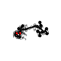 CO[C@H]1[C@@H]2[C@]3(OC(C)=O)CO[C@@H]3C[C@H](O)[C@@]2(C)C(=O)[C@H](OC(C)=O)C2=C(C)[C@@H](OC(=O)[C@H](OC(=O)CCC(=O)NCCOCCOCCNC(=O)c3ccc(NC(=O)N(CCc4cc(CN(Cc5ccccn5)Cc5ccccn5)c(O)c(CN(Cc5ccccn5)Cc5ccccn5)c4)Cc4ccc(-c5ccccc5)cc4)cc3)[C@@H](NC(=O)c3ccccc3)c3ccccc3)C[C@]1(O)C2(C)C